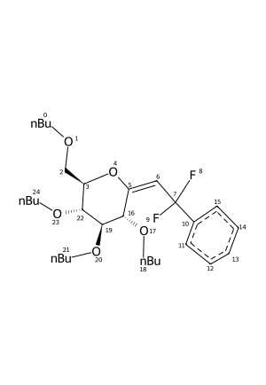 CCCCOC[C@H]1O/C(=C/C(F)(F)c2ccccc2)[C@H](OCCCC)[C@@H](OCCCC)[C@@H]1OCCCC